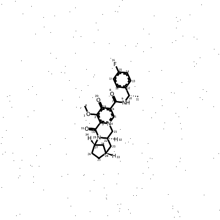 COc1c2n(cc(C(=O)N[C@@H](C)c3ccc(F)cc3)c1=O)C[C@H]1C[C@@H]3CC[C@@H](C3)N1C2=O